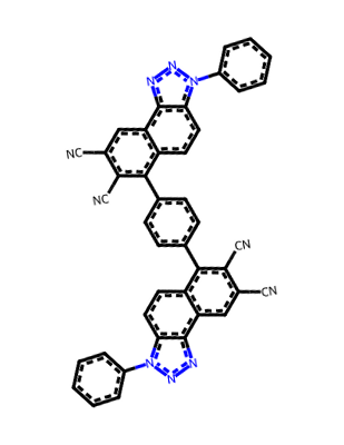 N#Cc1cc2c(ccc3c2nnn3-c2ccccc2)c(-c2ccc(-c3c(C#N)c(C#N)cc4c3ccc3c4nnn3-c3ccccc3)cc2)c1C#N